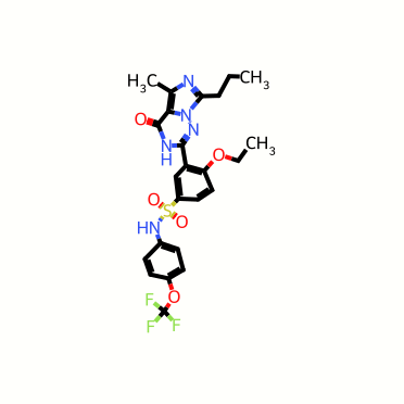 CCCc1nc(C)c2c(=O)[nH]c(-c3cc(S(=O)(=O)Nc4ccc(OC(F)(F)F)cc4)ccc3OCC)nn12